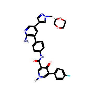 CCn1cc(C(=O)Nc2ccc(-c3cc(-c4cnn(C[C@H]5COCCO5)c4)cnc3N)cc2)c(=O)c(-c2ccc(F)cc2)c1